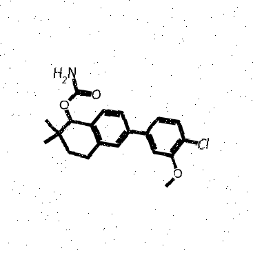 COc1cc(-c2ccc3c(c2)CCC(C)(C)C3OC(N)=O)ccc1Cl